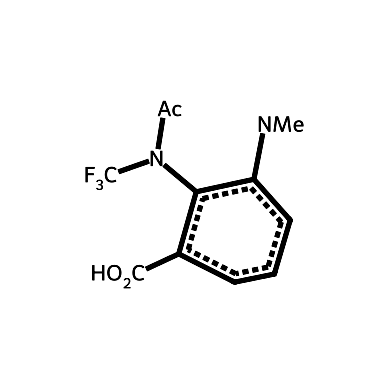 CNc1cccc(C(=O)O)c1N(C(C)=O)C(F)(F)F